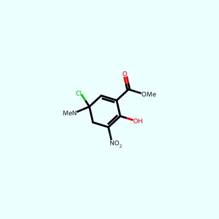 CNC1(Cl)C=C(C(=O)OC)C(O)=C([N+](=O)[O-])C1